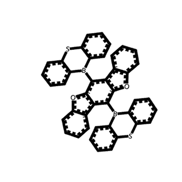 c1ccc2c(c1)Sc1ccccc1B2c1c2oc3ccccc3c2c(B2c3ccccc3Sc3ccccc32)c2oc3ccccc3c12